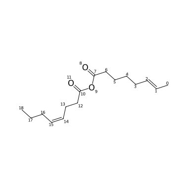 C/C=C/CCCCC(=O)OC(=O)CC/C=C\CCC